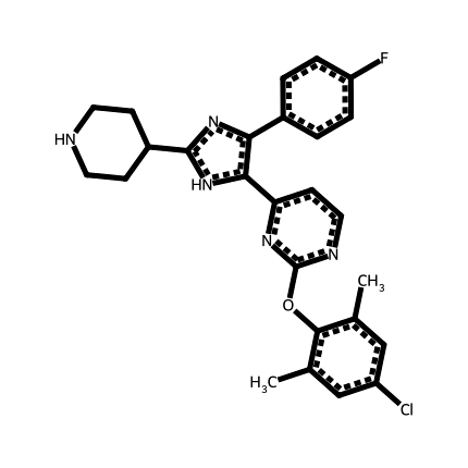 Cc1cc(Cl)cc(C)c1Oc1nccc(-c2[nH]c(C3CCNCC3)nc2-c2ccc(F)cc2)n1